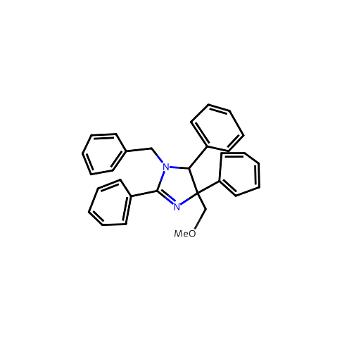 COCC1(c2ccccc2)N=C(c2ccccc2)N(Cc2ccccc2)C1c1ccccc1